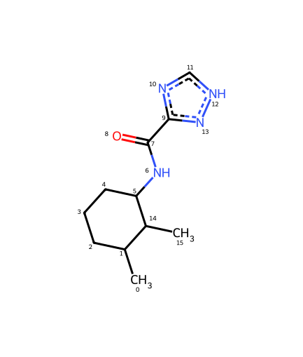 CC1CCCC(NC(=O)c2nc[nH]n2)C1C